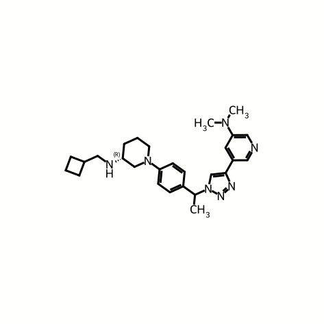 CC(c1ccc(N2CCC[C@@H](NCC3CCC3)C2)cc1)n1cc(-c2cncc(N(C)C)c2)nn1